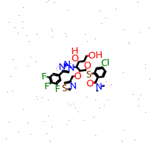 CN(C)C(=O)c1ccc(Cl)cc1S[C@H]1OC(CO)[C@H](O)C(n2cc(-c3cc(F)c(F)c(F)c3)nn2)C1OCc1cscn1